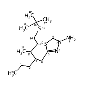 CCCC(CC1=NN(N)CS1)C(C)CCSC(C)(C)C